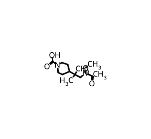 CON(CC(C)(C)C1CCN(C(=O)O)CC1)C(C)=O